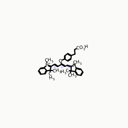 CN1/C(=C/C=C(/C=C/C2=[N+](C)c3ccccc3C2(C)C)Oc2ccc(CCC(=O)O)cc2)C(C)(C)c2ccccc21